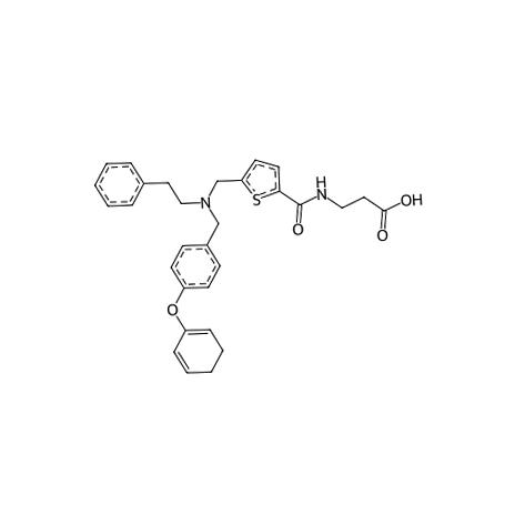 O=C(O)CCNC(=O)c1ccc(CN(CCc2ccccc2)Cc2ccc(OC3=CCCC=C3)cc2)s1